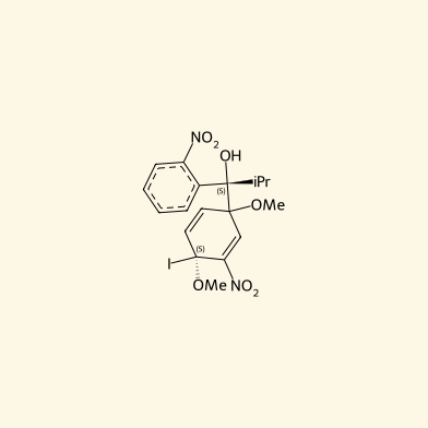 COC1([C@@](O)(c2ccccc2[N+](=O)[O-])C(C)C)C=C[C@@](I)(OC)C([N+](=O)[O-])=C1